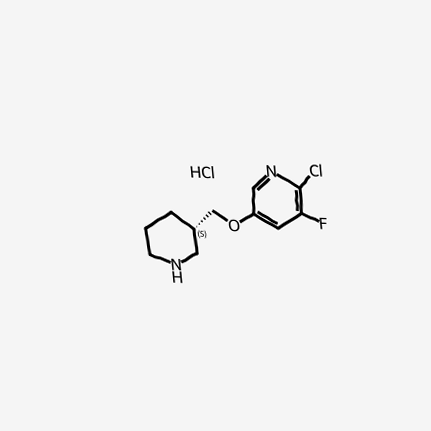 Cl.Fc1cc(OC[C@H]2CCCNC2)cnc1Cl